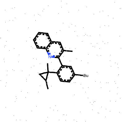 CCC(C)c1ccc(C2(C)CC2C)c(-c2nc3ccccc3cc2C)c1